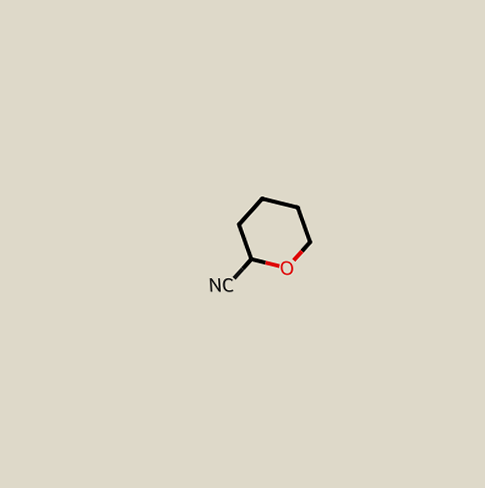 N#CC1CCCCO1